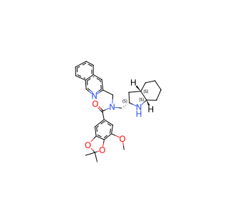 COc1cc(C(=O)N(Cc2cc3ccccc3cn2)C[C@@H]2C[C@@H]3CCCC[C@@H]3N2)cc2c1OC(C)(C)O2